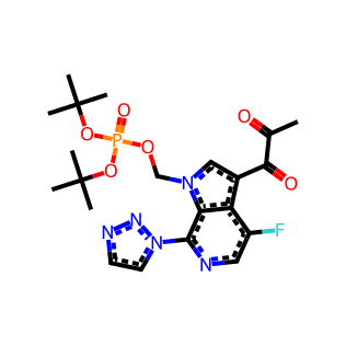 CC(=O)C(=O)c1cn(COP(=O)(OC(C)(C)C)OC(C)(C)C)c2c(-n3ccnn3)ncc(F)c12